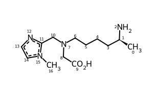 C[C@H](N)CCCCN(CC(=O)O)Cc1nccn1C